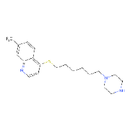 FC(F)(F)c1ccc2c(SCCCCCCN3CCNCC3)ccnc2c1